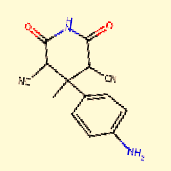 CC1(c2ccc(N)cc2)C(C#N)C(=O)NC(=O)C1C#N